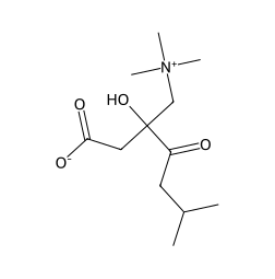 CC(C)CC(=O)C(O)(CC(=O)[O-])C[N+](C)(C)C